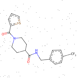 O=C(NCc1ccc(C(F)(F)F)cc1)C1CCN(C(=O)c2cccs2)CC1